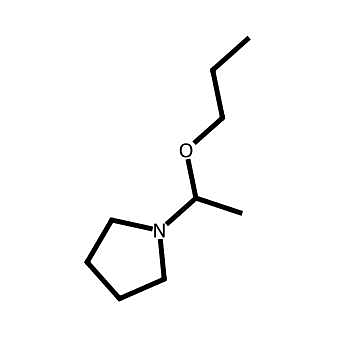 CCCOC(C)N1CCCC1